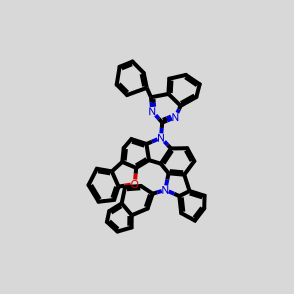 c1ccc(-c2nc(-n3c4ccc5c6ccccc6oc5c4c4c3ccc3c5ccccc5n(-c5ccc6ccccc6c5)c34)nc3ccccc23)cc1